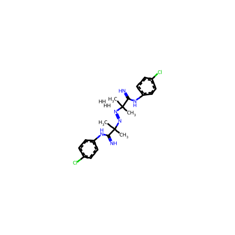 CC(C)(N=NC(C)(C)C(=N)Nc1ccc(Cl)cc1)C(=N)Nc1ccc(Cl)cc1.[HH].[HH]